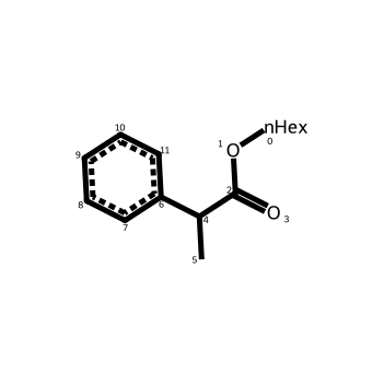 CCCCCCOC(=O)C(C)c1ccccc1